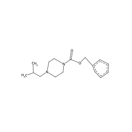 CC(C)CN1CCN(C(=O)OCc2ccccc2)CC1